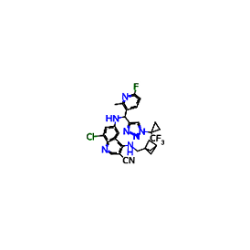 Cc1nc(F)ccc1C(Nc1cc(Cl)c2ncc(C#N)c(NCC34CC(C3)C4)c2c1)c1cn(C2(C(F)(F)F)CC2)nn1